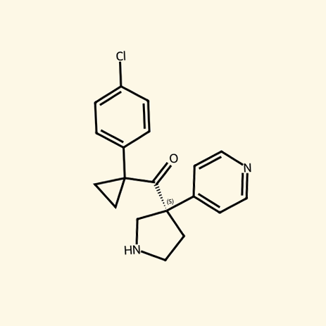 O=C(C1(c2ccc(Cl)cc2)CC1)[C@]1(c2ccncc2)CCNC1